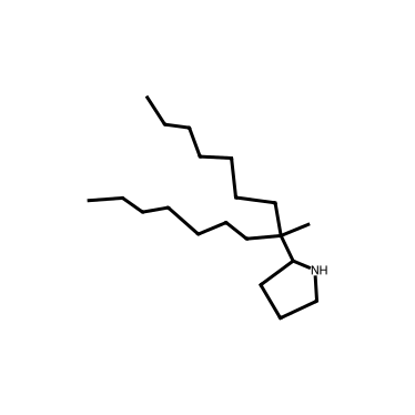 CCCCCCCC(C)(CCCCCCC)C1CCCN1